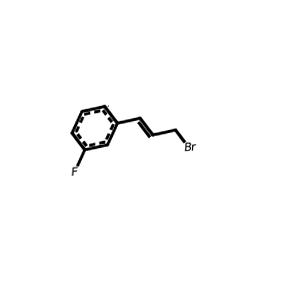 Fc1cc[c]c(/C=C/CBr)c1